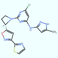 Cc1cc(Nc2cc(Cl)nc(N3CC[C@H]3c3cc(-c4nccs4)no3)n2)n[nH]1